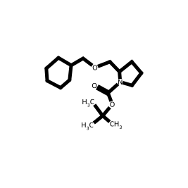 CC(C)(C)OC(=O)N1CCCC1COCC1CCCCC1